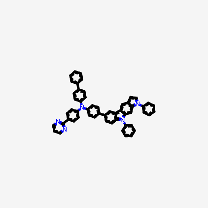 c1ccc(-c2ccc(N(c3ccc(-c4ccc5c(c4)c4cc6ccn(-c7ccccc7)c6cc4n5-c4ccccc4)cc3)c3ccc(-c4ncccn4)cc3)cc2)cc1